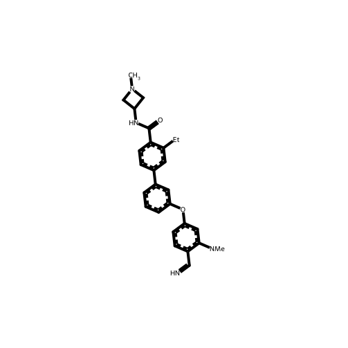 CCc1cc(-c2cccc(Oc3ccc(C=N)c(NC)c3)c2)ccc1C(=O)NC1CN(C)C1